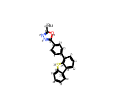 CCC(C)c1nnc(-c2ccc(-c3cccc4c3sc3ccccc34)cc2)o1